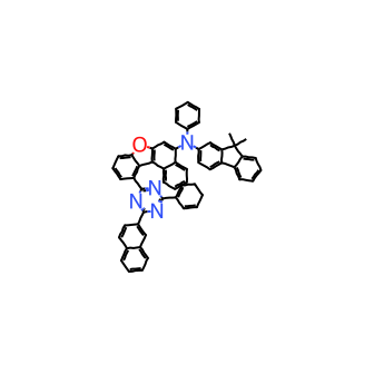 CC1(C)c2ccccc2-c2ccc(N(c3ccccc3)c3cc4oc5cccc(-c6nc(C7=CCCC=C7)nc(-c7ccc8ccccc8c7)n6)c5c4c4ccccc34)cc21